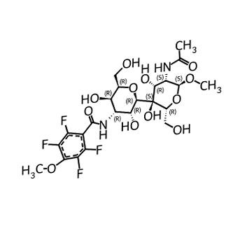 COc1c(F)c(F)c(C(=O)N[C@H]2[C@@H](O)[C@H]([C@]3(O)[C@H](O)[C@H](NC(C)=O)[C@@H](OC)O[C@@H]3CO)O[C@H](CO)[C@@H]2O)c(F)c1F